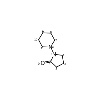 O=C1CCCN1N1CCCCC1